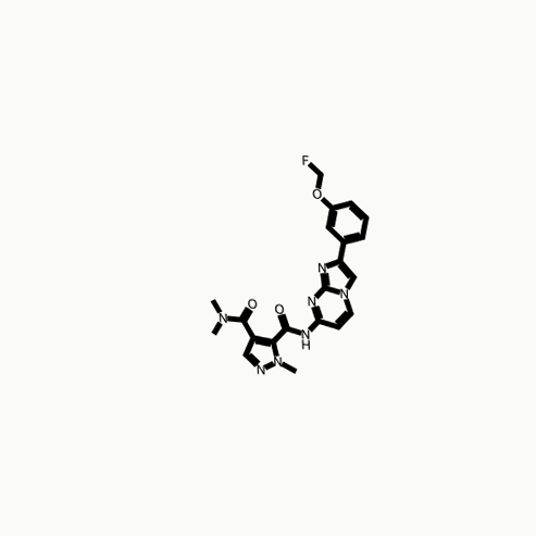 CN(C)C(=O)c1cnn(C)c1C(=O)Nc1ccn2cc(-c3cccc(OCF)c3)nc2n1